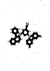 Cc1ccc2c(c1)c1cc(C)ccc1n2C1C=C(C#N)C=C(n2c3ccccc3c3c4ccccc4ccc32)C1